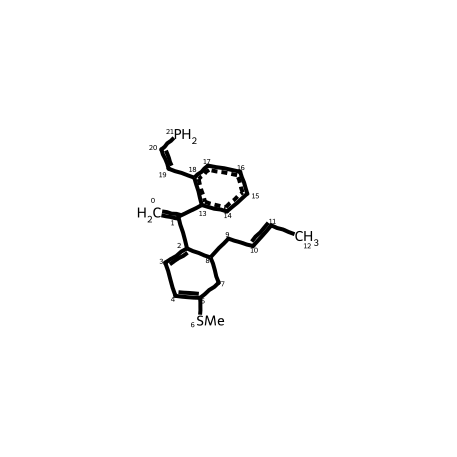 C=C(C1=CC=C(SC)CC1CC=CC)c1ccccc1/C=C\P